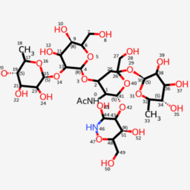 CC(=O)NC1C(O[C@@H]2OC(CO)[C@H](O)C(O)C2O[C@@H]2OC(C)[C@@H](O)C(O)C2O)CC(CO)(O[C@@H]2OC(C)[C@@H](O)C(O)C2O)O[C@@H]1OC1C(O)NOC(CO)[C@@H]1O